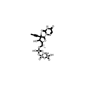 CC#CC1(F)C(O)[C@@H]([C@H](C)OP(=O)(O)OP(=O)(O)OP(=O)(O)O)O[C@H]1n1ncc(=O)[nH]c1=O